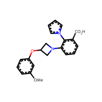 COc1cccc(OC2CN(c3cccc(C(=O)O)c3-n3cccc3)C2)c1